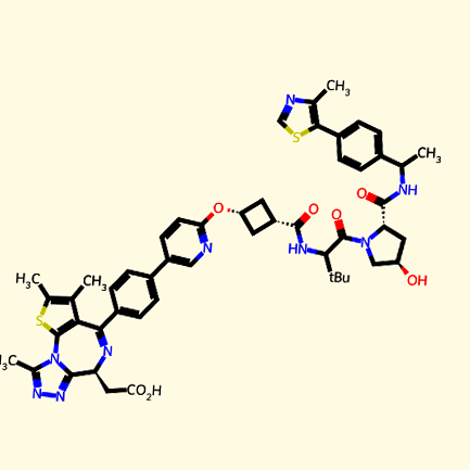 Cc1ncsc1-c1ccc(C(C)NC(=O)[C@@H]2C[C@@H](O)CN2C(=O)C(NC(=O)[C@H]2C[C@@H](Oc3ccc(-c4ccc(C5=N[C@@H](CC(=O)O)c6nnc(C)n6-c6sc(C)c(C)c65)cc4)cn3)C2)C(C)(C)C)cc1